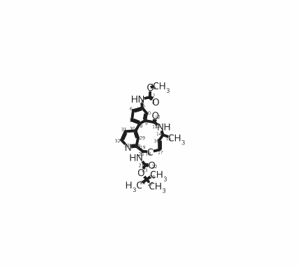 COC(=O)Nc1ccc2c(c1)C(=O)NC(C)/C=C/C[C@H](NC(=O)OC(C)(C)C)c1cc-2ccn1